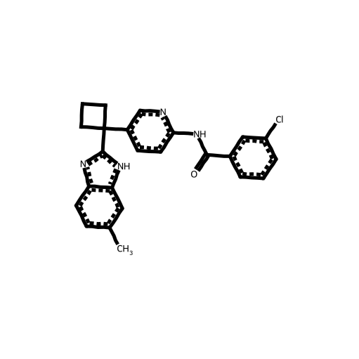 Cc1ccc2nc(C3(c4ccc(NC(=O)c5cccc(Cl)c5)nc4)CCC3)[nH]c2c1